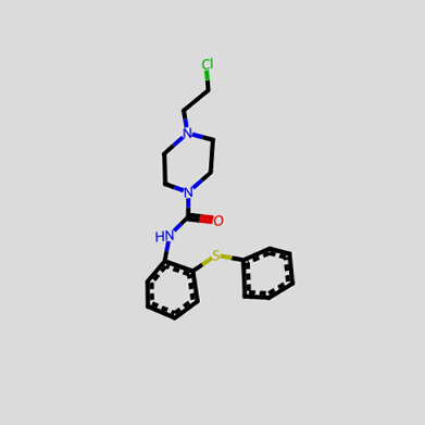 O=C(Nc1ccccc1Sc1ccccc1)N1CCN(CCCl)CC1